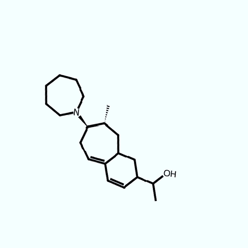 CC(O)C1C=CC2=CC[C@@H](N3CCCCCC3)[C@H](C)CC2C1